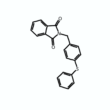 O=C1c2ccccc2C(=O)N1Cc1ccc(Sc2ccccc2)cc1